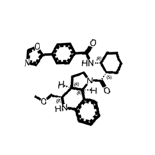 COC[C@@H]1Nc2ccccc2[C@H]2[C@@H]1CCN2C(=O)[C@H]1CCCC[C@H]1NC(=O)c1ccc(-c2cnco2)cc1